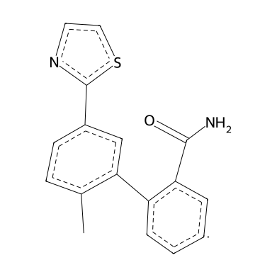 Cc1ccc(-c2nccs2)cc1-c1cc[c]cc1C(N)=O